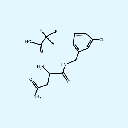 NC(=O)CC(N)C(=O)NCc1cccc(Cl)c1.O=C(O)C(F)(F)F